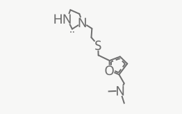 CN(C)Cc1ccc(CSCCN2[C]NCC2)o1